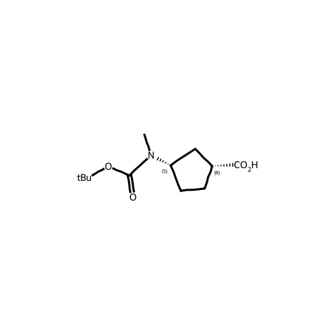 CN(C(=O)OC(C)(C)C)[C@H]1CC[C@@H](C(=O)O)C1